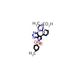 Cc1ccc(S(=O)(=O)n2cc(-c3ccccn3)c3c(N4CCN(C(=O)O)C(C)C4)ncnc32)cc1